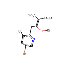 CCOC(=O)C(C(=O)OCC)=C(Cc1ncc(Br)cc1C)OCC